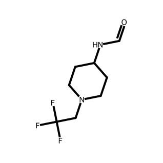 O=CNC1CCN(CC(F)(F)F)CC1